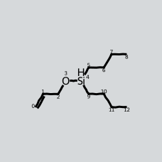 C=CCO[SiH](CCCC)CCCC